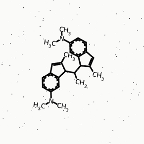 CC1=Cc2ccc(N(C)C)cc2C1C(C)C1C(C)=Cc2ccc(N(C)C)cc21